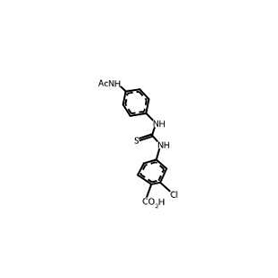 CC(=O)Nc1ccc(NC(=S)Nc2ccc(C(=O)O)c(Cl)c2)cc1